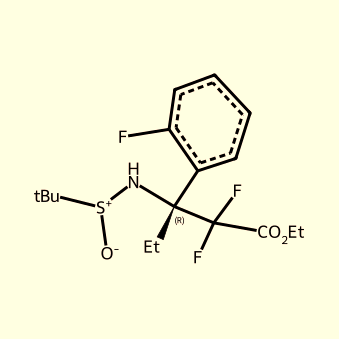 CCOC(=O)C(F)(F)[C@](CC)(N[S+]([O-])C(C)(C)C)c1ccccc1F